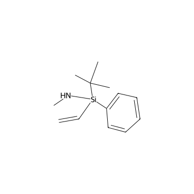 C=C[Si](NC)(c1ccccc1)C(C)(C)C